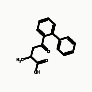 CC(CC(=O)c1ccccc1-c1ccccc1)C(=O)O